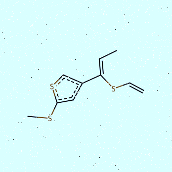 C=CS/C(=C\C)c1csc(SC)c1